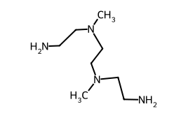 CN(CCN)CCN(C)CCN